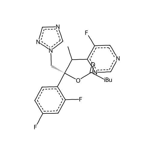 CCC(C)C(=O)O[C@@](Cn1cncn1)(c1ccc(F)cc1F)C(C)c1ncncc1F